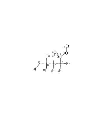 CC[O][Sn](=[O])[C](F)(F)C(F)(F)C(F)(F)CF